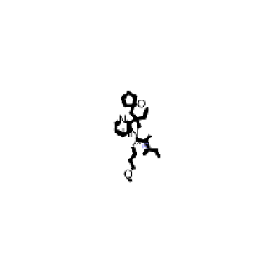 CC/C(C)=C(\C)[C@H](CCCCOC)NCC1(c2ccccn2)CCOC2(CCCC2)C1